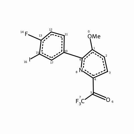 COc1ccc(C(=O)C(F)(F)F)nc1-c1ccc(F)c(I)c1